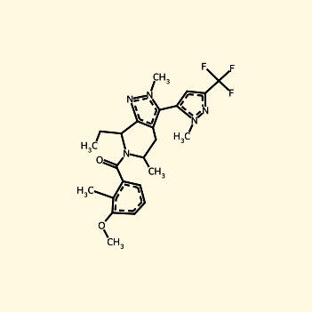 CCC1c2nn(C)c(-c3cc(C(F)(F)F)nn3C)c2CC(C)N1C(=O)c1cccc(OC)c1C